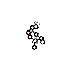 CC1CC=Cc2c1ccc1c3ccccc3n(-c3ccc(-c4ccc5c(c4-c4nc(-c6ccccc6)nc(-c6ccccc6)n4)CCCC5)cc3)c21